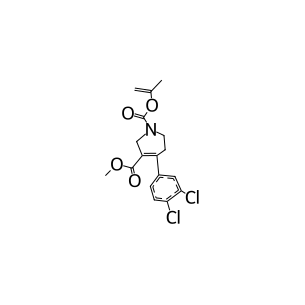 C=C(C)OC(=O)N1CCC(c2ccc(Cl)c(Cl)c2)=C(C(=O)OC)C1